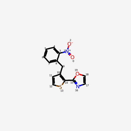 O=[N+]([O-])c1ccccc1Cc1ccsc1-c1ncco1